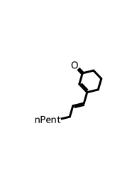 CCCCCC/C=C/C1=CC(=O)CCC1